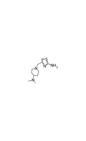 CN(C)C1CCN(Cc2csc(N)n2)CC1